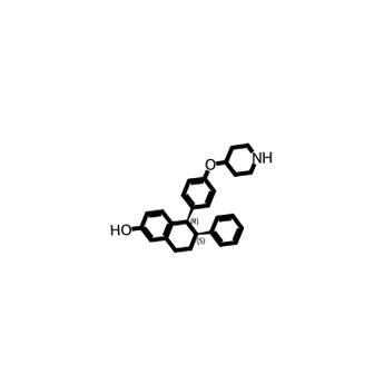 Oc1ccc2c(c1)CC[C@H](c1ccccc1)[C@@H]2c1ccc(OC2CCNCC2)cc1